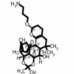 C=C1C(=O)[C@@]23[C@@H]4OC(C)(C)OC25OC[C@]2(C6=C(CC[C@H](OCCCN)O6)CC(C)(C)[C@H]2[C@@H]5O)[C@@H]3CC[C@@H]14